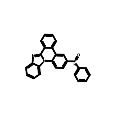 O=[PH](c1ccccc1)c1ccc2c(c1)c1ccccc1c1nc3ccccc3n21